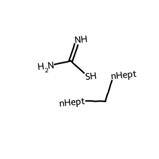 CCCCCCCCCCCCCCC.N=C(N)S